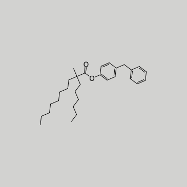 CCCCCCCCC(C)(CCCCCC)C(=O)Oc1ccc(Cc2ccccc2)cc1